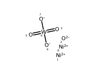 [Ni+2].[Ni+2].[O-2].[O]=[W](=[O])([O-])[O-]